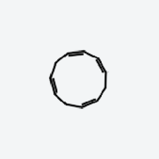 [C]1=C\C=C/C/C=C\C/C=C\C/1